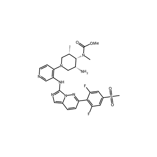 COC(=O)N(C)[C@@H]1[C@H](N)CN(c2ccncc2Nc2ncc3ccc(-c4c(F)cc(S(C)(=O)=O)cc4F)nn23)C[C@@H]1C